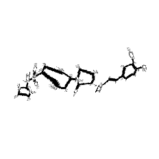 O=C1[C@@H](NCCc2ccc(Cl)c(Cl)c2)CCN1c1ccc(S(=O)(=O)Nc2nccs2)cc1